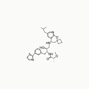 CO[C@H](C)C(=O)N[C@@H](Cc1cccc(-c2nccs2)c1)[C@@H](O)CN[C@H]1CC2(CCC2)Oc2ncc(CC(C)C)cc21